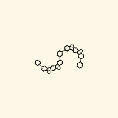 C1=CC(c2ccccc2)Cc2c1oc1cc3oc4ccc(-c5cccc(-c6ccc7oc8cc9oc%10ccc(-c%11ccccc%11)cc%10c9cc8c7c6)c5)cc4c3cc21